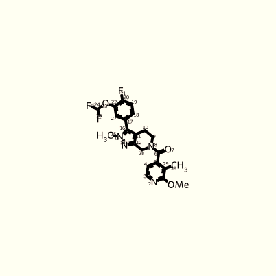 COc1nccc(C(=O)N2CCc3c(nn(C)c3-c3ccc(F)c(OC(F)F)c3)C2)c1C